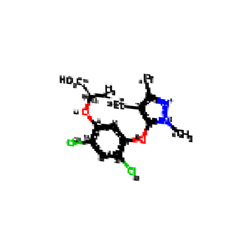 CCc1c(C(C)C)nn(C)c1Oc1cc(O[C@@H](C)C(=O)O)c(Cl)cc1Cl